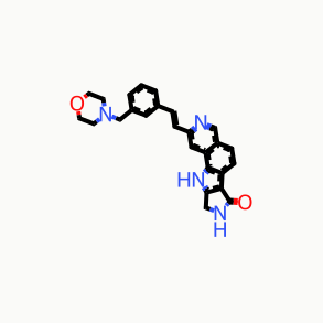 O=C1NCc2[nH]c3c(ccc4cnc(C=Cc5cccc(CN6CCOCC6)c5)cc43)c21